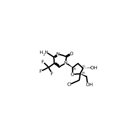 Nc1nc(=O)n([C@H]2C[C@H](O)[C@](CO)(CCl)O2)cc1C(F)(F)F